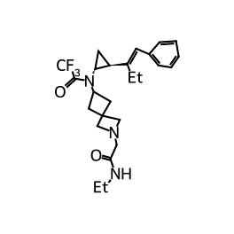 CCNC(=O)CN1CC2(CC(N(C(=O)C(F)(F)F)[C@@H]3C[C@H]3/C(=C/c3ccccc3)CC)C2)C1